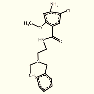 CCN(CCNC(=O)c1cc(Cl)c(N)cc1OC)Cc1ccccc1